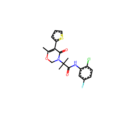 CC1=C(c2cccs2)C(=O)N(C(C)(C)C(=O)Nc2cc(F)ccc2Cl)CO1